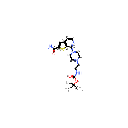 CC(C)(C)OC(=O)NCCN1CCN(c2nccc3cc(C(N)=O)sc23)CC1